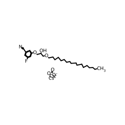 CCCCCCCCCCCCCCCCCCOC[C@@H](O)COc1cc(F)cc(C#N)c1.O=C([O-])[O-].[Cs+].[Cs+]